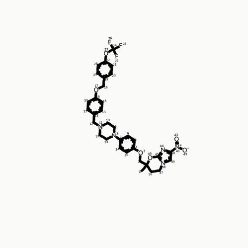 CC1(COc2ccc(N3CCN(Cc4ccc(OCc5ccc(OC(F)(F)F)cc5)cc4)CC3)cc2)CCn2cc([N+](=O)[O-])nc2O1